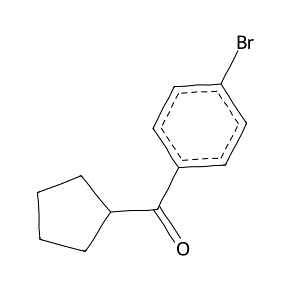 O=C(c1ccc(Br)cc1)C1CCCC1